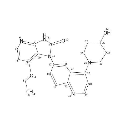 CCOc1ccnc2[nH]c(=O)n(-c3ccc4nccc(N5CCC(O)CC5)c4c3)c12